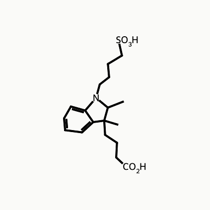 CC1N(CCCCS(=O)(=O)O)c2ccccc2C1(C)CCCC(=O)O